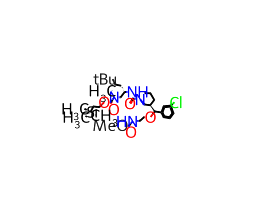 COC(=O)NCCOC(c1cccc(Cl)c1)[C@@H]1CCCN(C(=O)N[C@@H](CCC(C)(C)C)CN(C)C(=O)OCC[Si](C)(C)C)C1